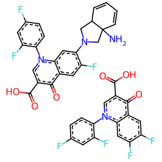 NC12C=CC=CC1CN(c1cc3c(cc1F)c(=O)c(C(=O)O)cn3-c1ccc(F)cc1F)C2.O=C(O)c1cn(-c2ccc(F)cc2F)c2cc(F)c(F)cc2c1=O